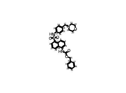 O=C(Nc1cccc2c(S(=O)(=O)Nc3ccc(CN4CCOCC4)cc3)cccc12)OCc1ccccc1